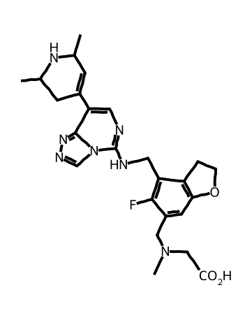 CC1C=C(c2cnc(NCc3c(F)c(CN(C)CC(=O)O)cc4c3CCO4)n3cnnc23)CC(C)N1